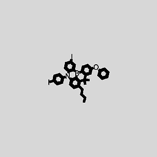 CCCCc1ccc2c3c1C(C)(C)c1cc(Oc4ccccc4)ccc1B3c1cc(I)ccc1N2c1ccc(I)cc1